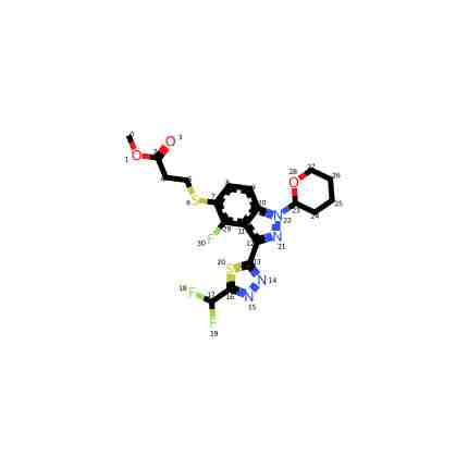 COC(=O)CCSc1ccc2c(c(-c3nnc(C(F)F)s3)nn2C2CCCCO2)c1F